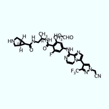 Cc1cc(Nc2nccn3c(-c4cn(CC#N)nc4C(F)(F)F)cnc23)cc(F)c1C(=O)N[C@H](C)CNC(=O)C1[C@H]2CNC[C@@H]12.O=CO